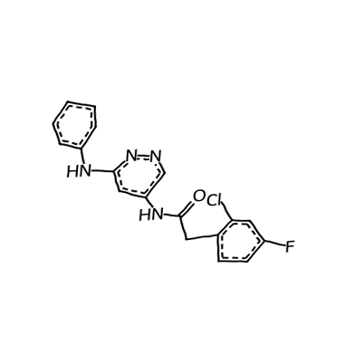 O=C(Cc1ccc(F)cc1Cl)Nc1cnnc(Nc2ccccc2)c1